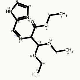 CCOC(=O)C(/N=C\c1ncc[nH]1)C(OCC)OCC